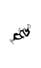 N#Cc1ccc(C(=O)c2cccc(Cl)n2)c(F)c1